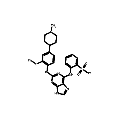 CC(C)Oc1cc(C2CCN(C)CC2)ccc1Nc1nc(Nc2ccccc2S(=O)(=O)C(C)C)c2nc[nH]c2n1